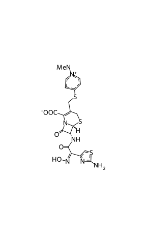 CN[n+]1ccc(SCC2=C(C(=O)[O-])N3C(=O)[C@@H](NC(=O)/C(=N\O)c4csc(N)n4)[C@H]3SC2)cc1